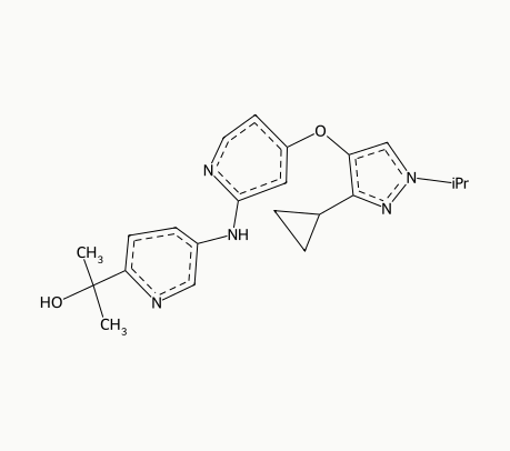 CC(C)n1cc(Oc2ccnc(Nc3ccc(C(C)(C)O)nc3)c2)c(C2CC2)n1